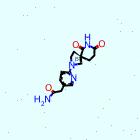 NC(=O)Cc1ccc(N2CC[C@@]3(CCC(=O)NC3=O)C2)nc1